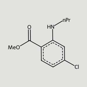 CCCNc1cc(Cl)ccc1C(=O)OC